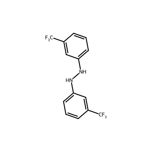 FC(F)(F)c1cccc(NNc2cccc(C(F)(F)F)c2)c1